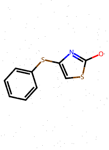 [O]c1nc(Sc2ccccc2)cs1